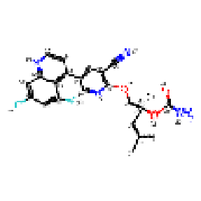 CC(C)C[C@@](C)(COc1ncc(-c2ccnc3cc(F)cc(F)c23)cc1C#N)OC(N)=O